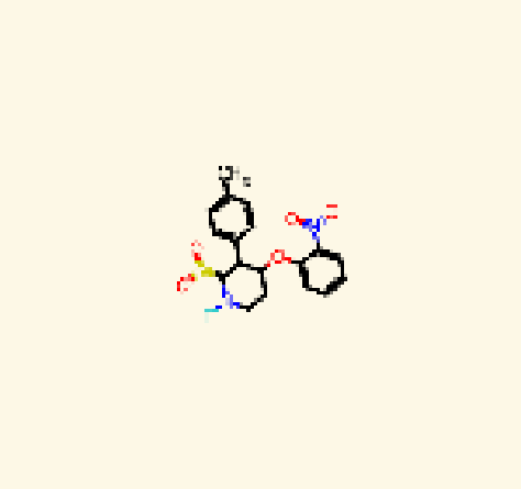 Cc1ccc(C2C(=S(=O)=O)N(F)CCC2Oc2ccccc2[N+](=O)[O-])cc1